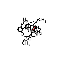 CCCNc1nc(=O)n2c3nc(c(C)cc13)-c1c(F)cccc1OCC(OCC)C(=O)C1=C2C(C)(C(C)C)NC=C1